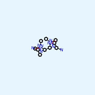 N#Cc1ccc2c(c1)c1ccccc1n2-c1ccc(-c2ccc(-n3c4ccccc4c4cc(C#N)ccc43)c(-c3nc(-c4ccccc4)nc(-c4ccccc4)n3)c2)cc1-c1nc(-c2ccccc2)nc(-c2ccccc2)n1